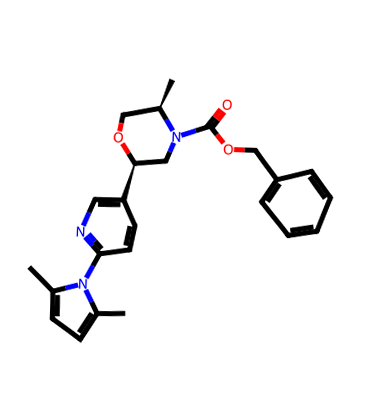 Cc1ccc(C)n1-c1ccc([C@@H]2CN(C(=O)OCc3ccccc3)[C@H](C)CO2)cn1